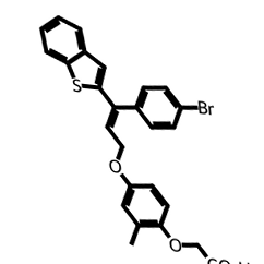 Cc1cc(OCC=C(c2ccc(Br)cc2)c2cc3ccccc3s2)ccc1OCC(=O)O